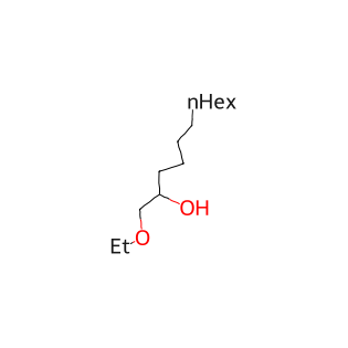 CCCCCCCCCCC(O)COCC